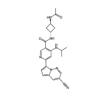 CC(=O)N[C@H]1C[C@H](NC(=O)c2cnc(-c3ccc4cc(C#N)cnn34)cc2NC(C)C)C1